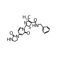 Cc1nc(-n2ccc(N3CCNC3=O)cc2=O)sc1C(=O)NCc1ccccc1